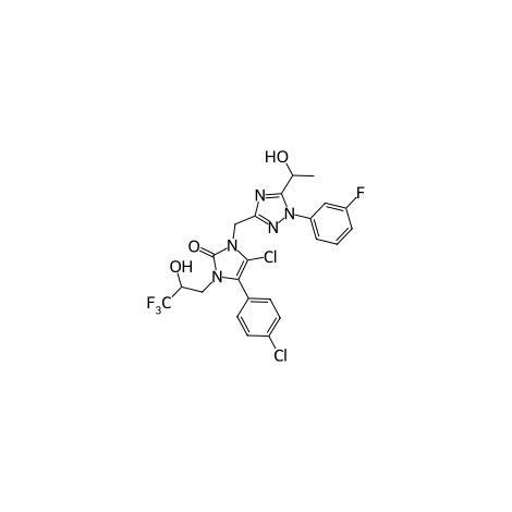 CC(O)c1nc(Cn2c(Cl)c(-c3ccc(Cl)cc3)n(CC(O)C(F)(F)F)c2=O)nn1-c1cccc(F)c1